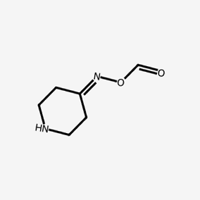 O=CON=C1CCNCC1